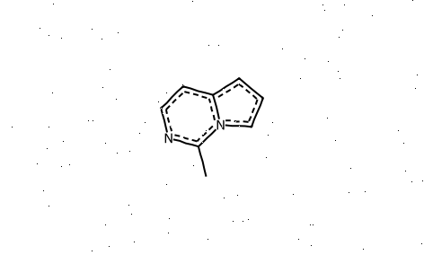 Cc1nccc2cccn12